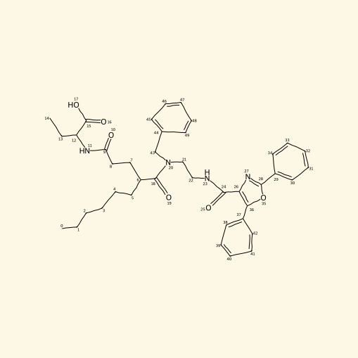 CCCCCCC(CCC(=O)NC(CC)C(=O)O)C(=O)N(CCNC(=O)c1nc(-c2ccccc2)oc1-c1ccccc1)Cc1ccccc1